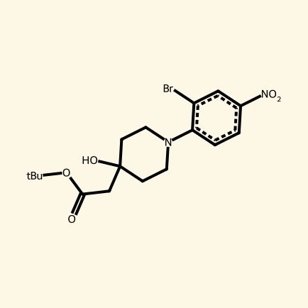 CC(C)(C)OC(=O)CC1(O)CCN(c2ccc([N+](=O)[O-])cc2Br)CC1